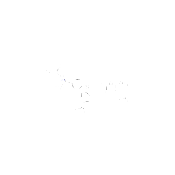 COCC(C)OC(=O)CCCn1c2ccc(/C(C)=N/OC(C)=O)cc2c2cc([N+](=O)[O-])ccc21